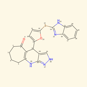 O=C1CCCCC2=C1C(c1ccc(Sc3nc4ccccc4[nH]3)o1)c1c[nH]nc1N2